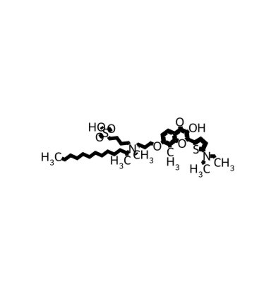 CCCCCCCCCCCC(C)[N+](C)(CCCCS(=O)(=O)O)CCCOc1ccc2c(=O)c(O)c(-c3ccc(N(CC)CC)s3)oc2c1C